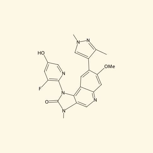 COc1cc2ncc3c(c2cc1-c1cn(C)nc1C)n(-c1ncc(O)cc1F)c(=O)n3C